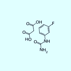 NC(=O)Nc1cccc(F)c1.O=C(O)CC(=O)O